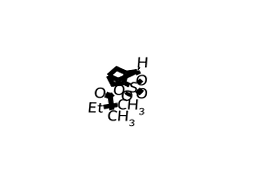 CCC(C)(C)C(=O)OC1C2CC3C(C2)S(=O)(=O)O[C@H]31